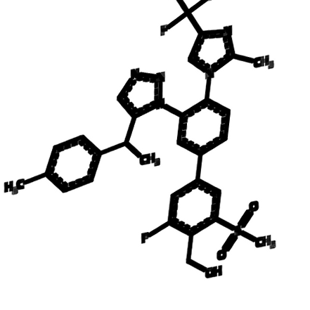 Cc1ccc(C(C)c2cnnn2-c2cc(-c3cc(F)c(CO)c(S(C)(=O)=O)c3)ccc2-n2cc(C(F)(F)F)nc2C)cc1